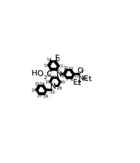 CCN(CC)C(=O)c1ccc(N(c2cc(F)ccc2C(=O)O)C2CCN(Cc3ccccc3)CC2)cc1